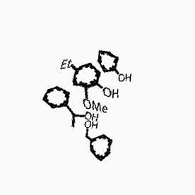 CC(O)c1ccccc1.CCc1ccc(O)c(OC)c1.OCc1ccccc1.Oc1ccccc1